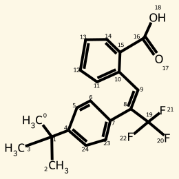 CC(C)(C)c1ccc(/C(=C\c2ccccc2C(=O)O)C(F)(F)F)cc1